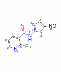 O=Nc1cnc(NC(=O)c2cccnc2F)s1